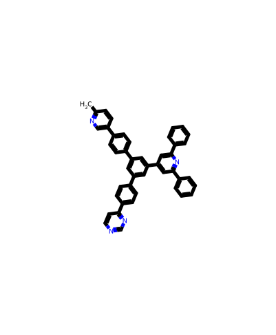 Cc1ccc(-c2ccc(-c3cc(-c4ccc(-c5ccncn5)cc4)cc(-c4cc(-c5ccccc5)nc(-c5ccccc5)c4)c3)cc2)cn1